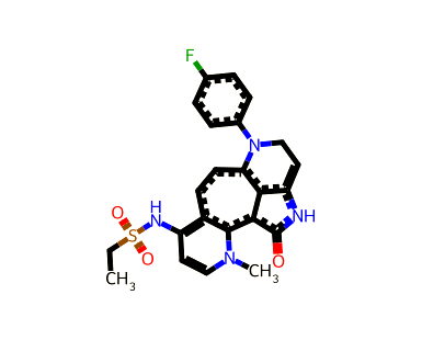 CCS(=O)(=O)NC1=c2ccc3c4c([nH]c(=O)c-4c2N(C)C=C1)=CCN3c1ccc(F)cc1